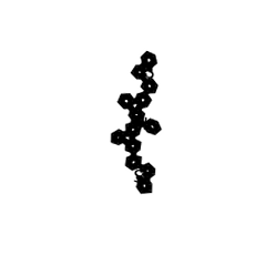 c1ccc(-n2c3cc4c5ccc(-c6cccc(-c7cccc8c7sc7ccccc78)c6)cc5c5ccccc5c4cc3c3cc4c5ccccc5c5cc(-c6cccc(-c7cccc8c7sc7ccccc78)c6)ccc5c4cc32)cc1